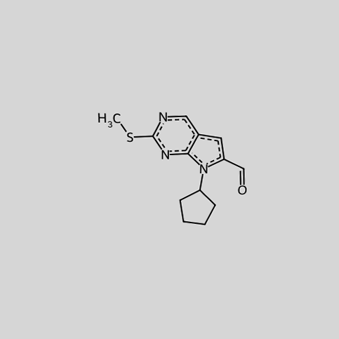 CSc1ncc2cc(C=O)n(C3CCCC3)c2n1